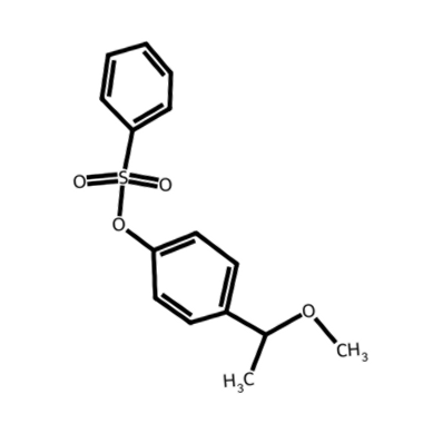 COC(C)c1ccc(OS(=O)(=O)c2ccccc2)cc1